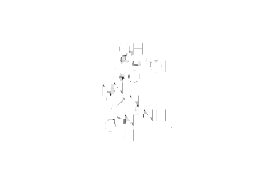 Nc1nc2c(cnn2[C@H]2C[C@@H](O)[C@@H](CO)O2)c(=O)[nH]1